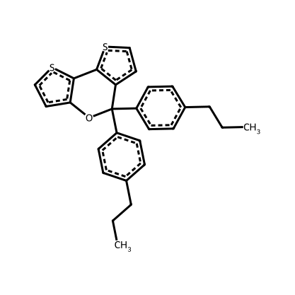 CCCc1ccc(C2(c3ccc(CCC)cc3)Oc3ccsc3-c3sccc32)cc1